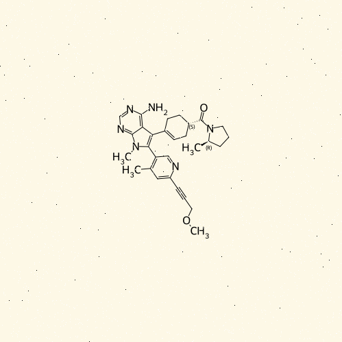 COCC#Cc1cc(C)c(-c2c(C3=CC[C@@H](C(=O)N4CCC[C@H]4C)CC3)c3c(N)ncnc3n2C)cn1